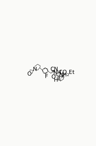 CCOC(=O)N1[C@@H]2CC[C@@H](C2)[C@H]1C(=O)N[C@H](C#N)Cc1ccc(C2CCCN(C3COC3)C2)cc1F